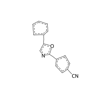 N#Cc1ccc(-c2ncc(-c3ccccc3)o2)cc1